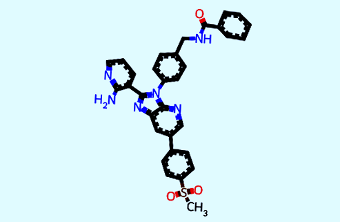 CS(=O)(=O)c1ccc(-c2cnc3c(c2)nc(-c2cccnc2N)n3-c2ccc(CNC(=O)c3ccccc3)cc2)cc1